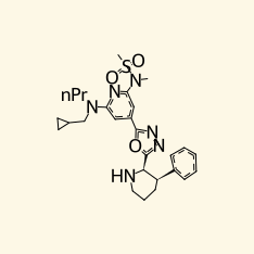 CCCN(CC1CC1)c1cc(-c2nnc([C@@H]3NCCC[C@@H]3c3ccccc3)o2)cc(N(C)S(C)(=O)=O)n1